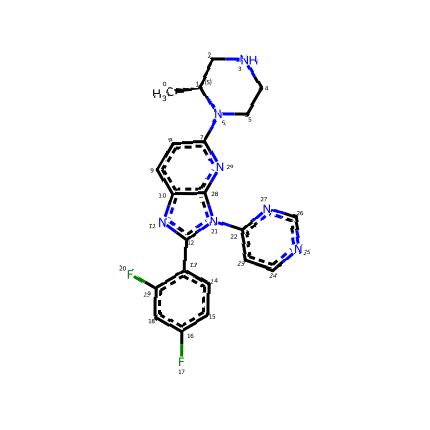 C[C@H]1CNCCN1c1ccc2nc(-c3ccc(F)cc3F)n(-c3ccncn3)c2n1